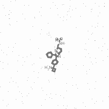 NC1(c2ccc(-c3nc4ccc(CN[SH](=O)=O)nn4c3-c3ccccc3)cc2)CCC1